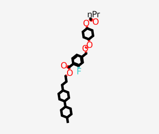 [CH2+][CH-]CC(=O)OC1CCC(OOCc2ccc(C(=O)OCCCC3CCC(C4CCC(C)CC4)CC3)c(F)c2)CC1